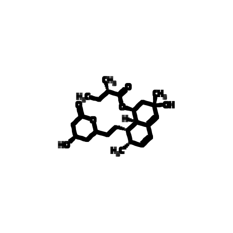 CC[C@H](C)C(=O)O[C@H]1C[C@](C)(O)C=C2C=C[C@H](C)[C@H](CCC3C[C@@H](O)CC(=O)O3)[C@H]21